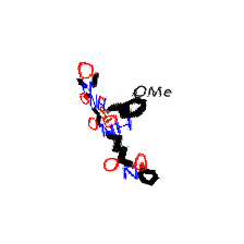 COc1ccccc1CS(=O)(=O)C(CNC(=O)N1CCOCC1)C(=O)NCCCCC(=O)c1nc2ccccc2o1